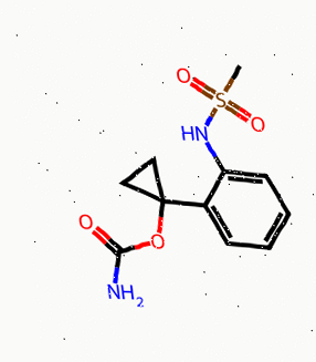 CS(=O)(=O)Nc1ccccc1C1(OC(N)=O)CC1